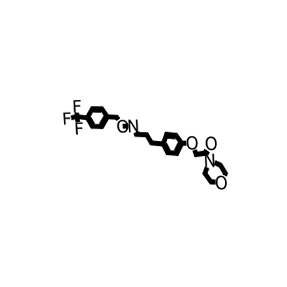 O=C(COc1ccc(CCC=NOCc2ccc(C(F)(F)F)cc2)cc1)N1CCOCC1